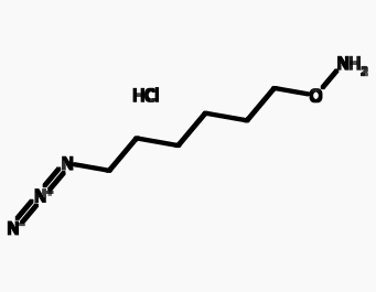 Cl.[N-]=[N+]=NCCCCCCON